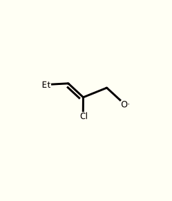 CCC=C(Cl)C[O]